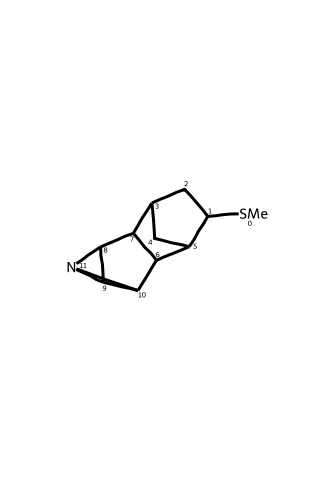 CSC1CC2CC1C1C2C2C3C1N23